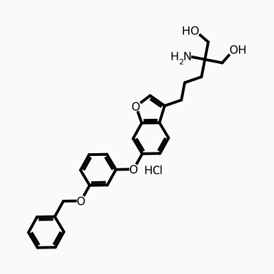 Cl.NC(CO)(CO)CCCc1coc2cc(Oc3cccc(OCc4ccccc4)c3)ccc12